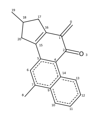 C=C1C(=O)c2c(cc(C)c3ccccc23)C2=C1CC(C)C2